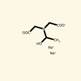 CC(O)N(CC(=O)[O-])CC(=O)[O-].[Na+].[Na+]